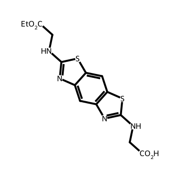 CCOC(=O)CNc1nc2cc3nc(NCC(=O)O)sc3cc2s1